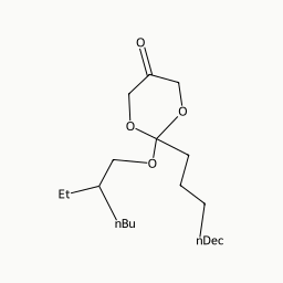 CCCCCCCCCCCCCC1(OCC(CC)CCCC)OCC(=O)CO1